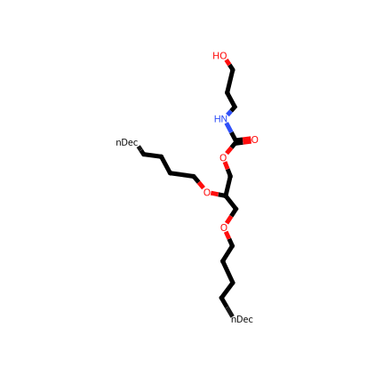 CCCCCCCCCCCCCCOCC(COC(=O)NCCCO)OCCCCCCCCCCCCCC